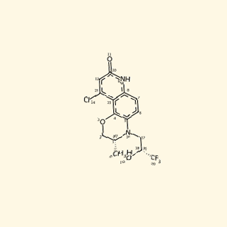 C[C@@H]1COc2c(ccc3[nH]c(=O)cc(Cl)c23)N1C[C@@H](O)C(F)(F)F